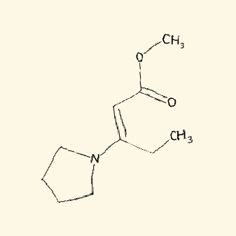 CCC(=CC(=O)OC)N1CCCC1